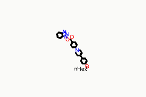 CCCCCCOc1ccc(C2=CCN(c3ccc(C(=O)On4nnc5ccccc54)cc3)CC2)cc1